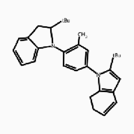 Cc1cc(-n2c(C(C)(C)C)cc3c2CCC=C3)ccc1N1c2ccccc2CC1C(C)(C)C